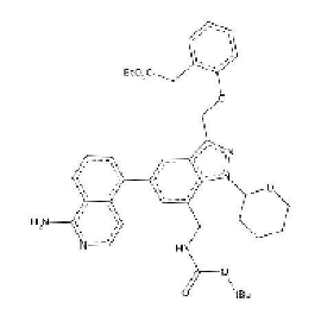 CCOC(=O)Cc1ccccc1OCc1nn(C2CCCCO2)c2c(CNC(=O)OC(C)(C)C)cc(-c3cccc4c(N)nccc34)cc12